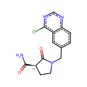 NC(=O)[C@@H]1CCN(Cc2ccc3ncnc(Cl)c3c2)C1=O